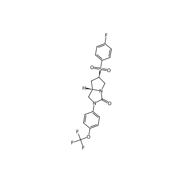 O=C1N(c2ccc(OC(F)(F)F)cc2)C[C@@H]2C[C@@H](S(=O)(=O)c3ccc(F)cc3)CN12